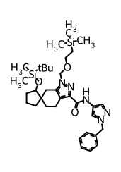 CC(C)(C)[Si](C)(C)OC1CCCC12CCc1c(C(=O)Nc3cnn(Cc4ccccc4)c3)nn(COCC[Si](C)(C)C)c1C2